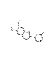 COc1cc2ccc(-c3cccc(C)c3)nc2cc1OC